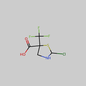 O=C(O)C1(C(F)(F)F)CNC(Cl)S1